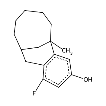 CC12CCCCCC(Cc3c(F)cc(O)cc31)C2